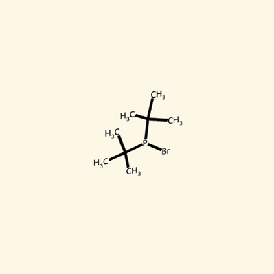 CC(C)(C)P(Br)C(C)(C)C